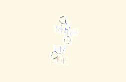 CN(C)c1nc(N[C@H]2CC[C@@H](CNCc3cccc(F)c3O)CC2)nc2ccccc12